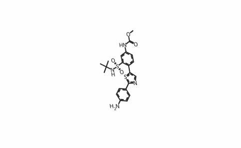 COC(=O)Nc1ccc(-c2cnc(-c3ccc(N)cc3)s2)c(S(=O)(=O)NC(C)(C)C)c1